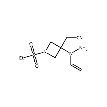 C=CN(N)C1(CC#N)CN(S(=O)(=O)CC)C1